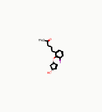 COC(=O)CCCc1cccc(I)c1O[C@@H]1C=C[C@H](O)C1